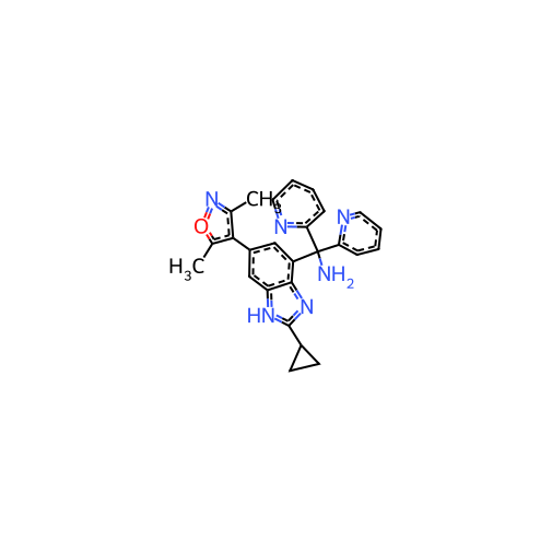 Cc1noc(C)c1-c1cc(C(N)(c2ccccn2)c2ccccn2)c2nc(C3CC3)[nH]c2c1